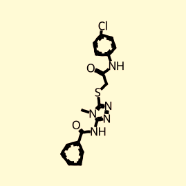 Cn1c(NC(=O)c2ccccc2)nnc1SCC(=O)Nc1ccc(Cl)cc1